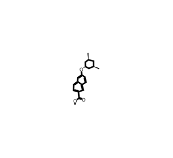 COC(=O)c1ccc2cc(O[C@H]3C[C@H](C)C[C@H](C)C3)ccc2c1